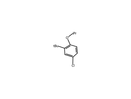 CC(C)Oc1ccc(Cl)cc1C(C)(C)C